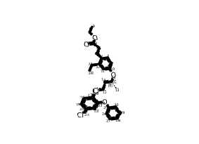 CCOC(=O)CCc1ccc(O[C@H](C)CCOc2ccc(Cl)cc2Oc2ccccc2)cc1CC